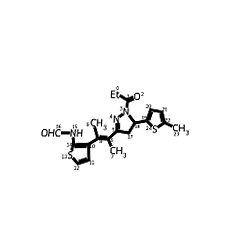 CCC(=O)N1N=C(/C(C)=C(\C)c2ccsc2NC=O)CC1c1ccc(C)s1